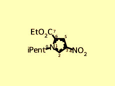 CCCC(C)n1cc([N+](=O)[O-])cc1C(=O)OCC